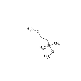 COCC[Si](C)(C)OC